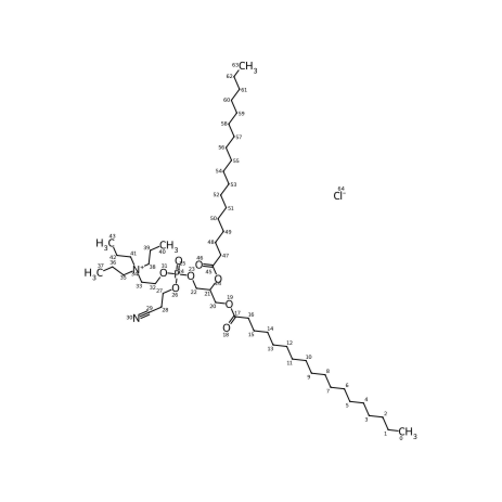 CCCCCCCCCCCCCCCCCC(=O)OCC(COP(=O)(OCCC#N)OCC[N+](CCC)(CCC)CCC)OC(=O)CCCCCCCCCCCCCCCCC.[Cl-]